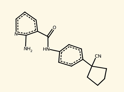 N#CC1(c2ccc(NC(=O)c3cccnc3N)cc2)CCCC1